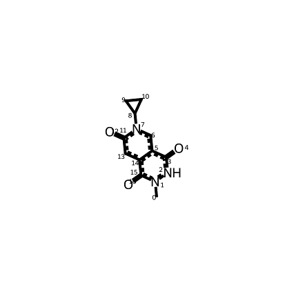 Cn1[nH]c(=O)c2cn(C3CC3)c(=O)cc2c1=O